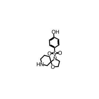 O=S(=O)(c1ccc(O)cc1)N1CCOC12CCCNC2